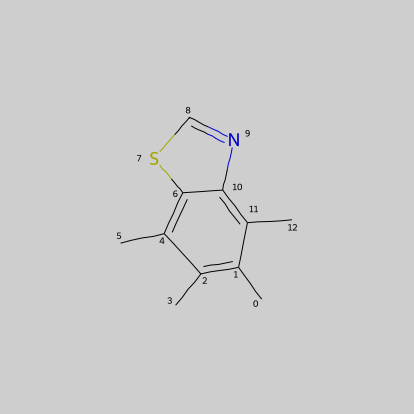 Cc1c(C)c(C)c2scnc2c1C